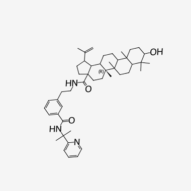 C=C(C)C1CCC2(C(=O)NCCc3cccc(C(=O)NC(C)(C)c4ccccn4)c3)CC[C@]3(C)C(CCC4C5(C)CCC(O)C(C)(C)C5CCC43C)C12